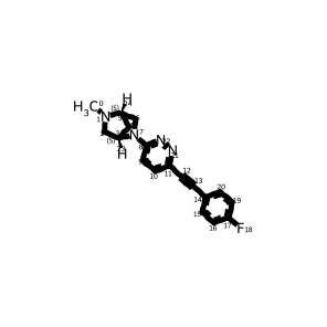 CN1C[C@@H]2C[C@H]1CN2c1ccc(C#Cc2ccc(F)cc2)nn1